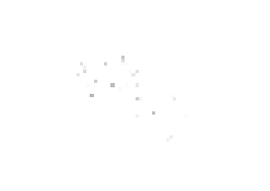 CC(=O)c1cc(C)cc2c(=O)n(C)c(SCc3ccc(Cl)c(OC(F)(F)F)c3)nc12